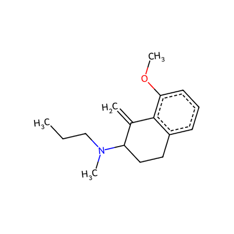 C=C1c2c(cccc2OC)CCC1N(C)CCC